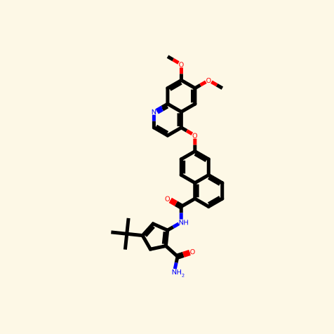 COc1cc2nccc(Oc3ccc4c(C(=O)NC5=C(C(N)=O)CC(C(C)(C)C)=C5)cccc4c3)c2cc1OC